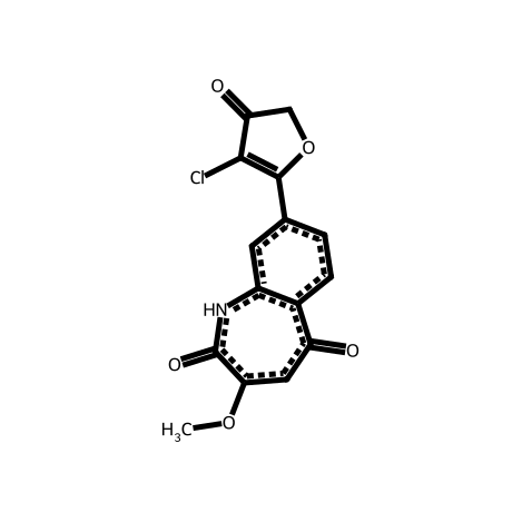 COc1cc(=O)c2ccc(C3=C(Cl)C(=O)CO3)cc2[nH]c1=O